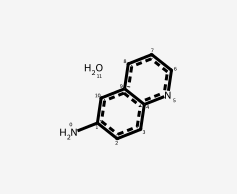 Nc1ccc2ncccc2c1.O